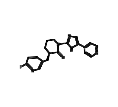 O=C1[C@@H](Cc2ccc(F)nc2)CCCN1c1nnc(-c2ccncc2)[nH]1